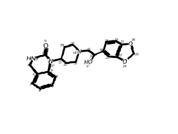 O=C1NCc2ccccc2N1C1CCN(CC(O)c2ccc3c(c2)OCO3)CC1